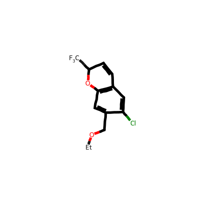 CCOCc1cc2c(cc1Cl)C=CC(C(F)(F)F)O2